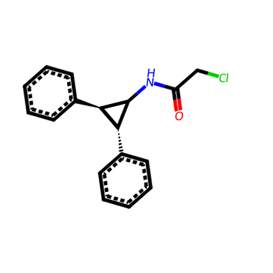 O=C(CCl)NC1[C@H](c2ccccc2)[C@H]1c1ccccc1